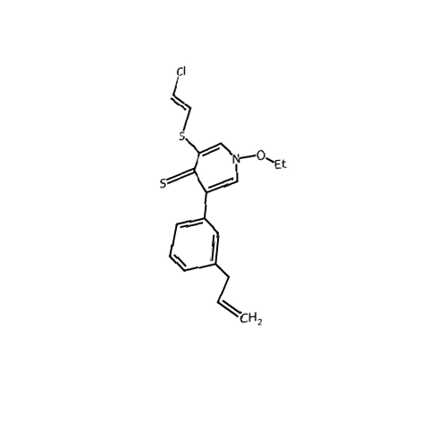 C=CCc1cccc(-c2cn(OCC)cc(SC=CCl)c2=S)c1